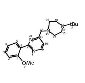 COc1ccccc1-c1nccc(CN2CCN(C(C)(C)C)CC2)n1